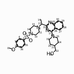 COc1ccc(S(=O)(=O)N2CCN(C(C)c3nc(N4CCC(CO)CC4)c4ccccc4n3)CC2)cc1